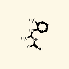 Cc1ccccc1NC(C)NC(=N)Cl